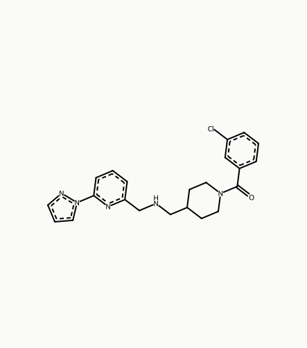 O=C(c1cccc(Cl)c1)N1CCC(CNCc2cccc(-n3cccn3)n2)CC1